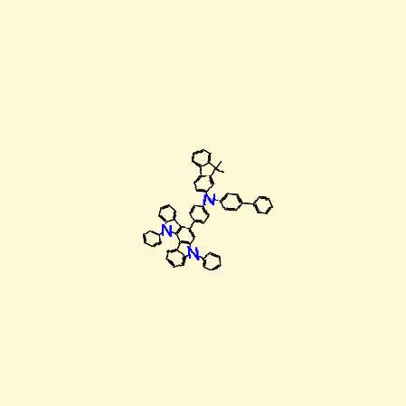 CC1(C)c2ccccc2-c2ccc(N(c3ccc(-c4ccccc4)cc3)c3ccc(-c4cc5c(c6ccccc6n5-c5ccccc5)c5c4c4ccccc4n5-c4ccccc4)cc3)cc21